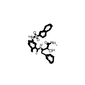 Cc1ccc(NS(=O)(=O)c2ccc3ccccc3c2)cc1C(=O)NC(Cc1ccccc1)[C@H](O)C(N)=O